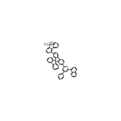 CC1(C)c2ccccc2-c2c(-c3ccc4c(c3)C3(c5ccccc5-c5ccccc53)c3cc(-c5cc(-c6ccccc6)cc(-c6cccc7ccccc67)n5)ccc3-4)cccc21